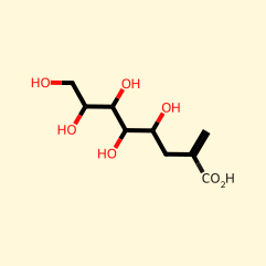 C=C(CC(O)C(O)C(O)C(O)CO)C(=O)O